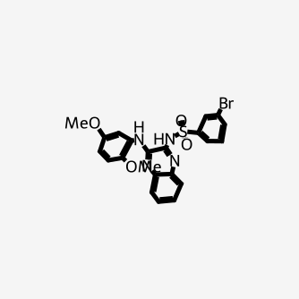 COc1ccc(OC)c(Nc2nc3ccccc3nc2NS(=O)(=O)c2cccc(Br)c2)c1